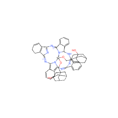 OC12CC3CC(C1)CC(CO[Si]1(OCC45CC6CC(CC(O)(C6)C4)C5)N4/C5=N\C6=NC(=N\c7c8ccccc8c(n71)/N=C1\N=C(NC4c4ccccc45)c4ccccc41)/C1=C6C=CCC1)(C3)C2